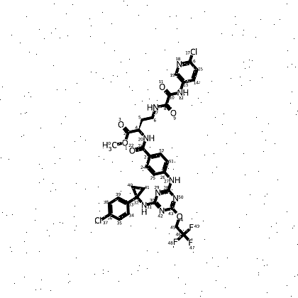 COC(=O)[C@@H](CCNC(=O)C(=O)Nc1ccc(Cl)nc1)NC(=O)c1ccc(Nc2nc(NC3(c4ccc(Cl)cc4)CC3)nc(OCC(F)(F)F)n2)cc1